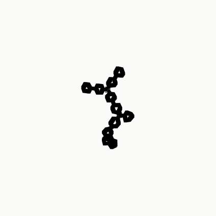 c1ccc(-c2ccc(N(c3ccc(-c4ccccc4)cc3)c3ccc(-c4ccc(N(c5ccccc5)c5ccc(-c6ccc7c(c6)C6CC8CC7CC6C8)cc5)cc4)cc3)cc2)cc1